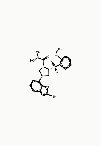 CCCCOc1ccccc1S(=O)(=O)[C@@H]1C[C@@H](c2cccc3sc(S)nc23)CN1C(=O)N(O)O